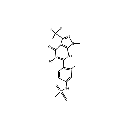 Cn1nc(C(F)(F)F)c2c(=O)c(O)c(-c3ccc(NS(C)(=O)=O)cc3F)[nH]c21